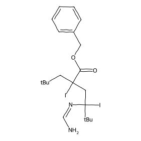 CC(C)(C)CC(I)(CC(I)(/N=C\N)C(C)(C)C)C(=O)OCc1ccccc1